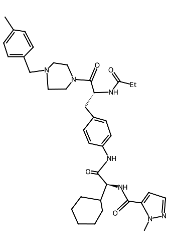 CCC(=O)N[C@H](Cc1ccc(NC(=O)[C@@H](NC(=O)c2ccnn2C)C2CCCCC2)cc1)C(=O)N1CCN(Cc2ccc(C)cc2)CC1